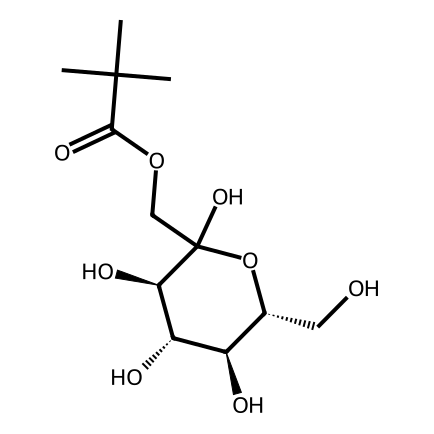 CC(C)(C)C(=O)OCC1(O)O[C@H](CO)[C@@H](O)[C@H](O)[C@H]1O